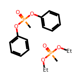 CCOP(C)(=O)OCC.CP(=O)(Oc1ccccc1)Oc1ccccc1